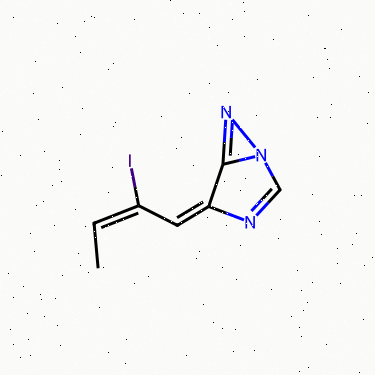 C/C=C(I)\C=c1\ncn2c1=N2